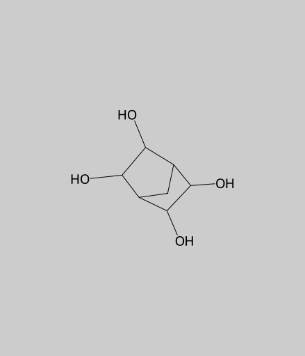 OC1C(O)C2CC1C(O)C2O